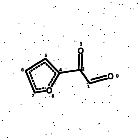 O=[C]C(=O)c1ccco1